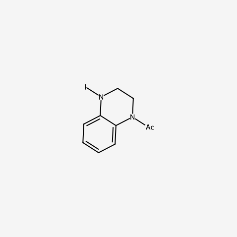 CC(=O)N1CCN(I)c2ccccc21